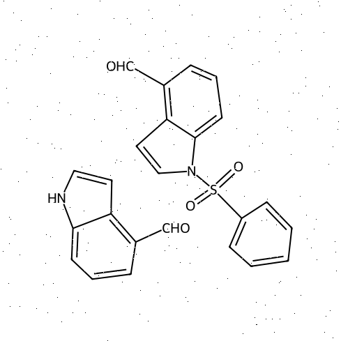 O=Cc1cccc2[nH]ccc12.O=Cc1cccc2c1ccn2S(=O)(=O)c1ccccc1